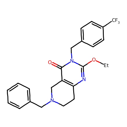 CCOc1nc2c(c(=O)n1Cc1ccc(C(F)(F)F)cc1)CN(Cc1ccccc1)CC2